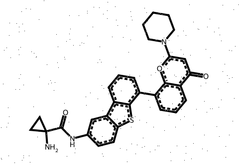 NC1(C(=O)Nc2ccc3sc4c(-c5cccc6c(=O)cc(N7CCCCC7)oc56)cccc4c3c2)CC1